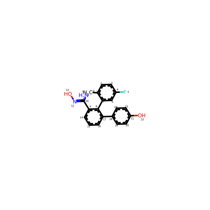 Cc1ccc(F)cc1-c1c(/C(N)=N/O)cccc1-c1ccc(O)cc1